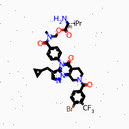 CC(C)[C@@H](N)C(=O)OCN(C)C(=O)c1ccc(-n2c(=O)c3c(n4ncc(CC5CC5)c24)CN(C(=O)c2ccc(Br)c(C(F)(F)F)c2)CC3)cc1